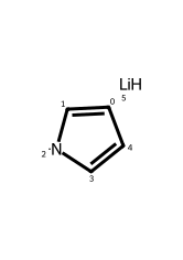 C1=C[N]C=C1.[LiH]